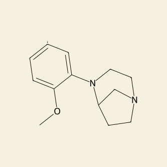 COc1cc[c]cc1N1CCN2CCC1C2